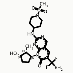 BC(F)(F)c1cc2cnc(NC3CCN(S(C)(=O)=O)CC3)nc2n([C@H]2CC[C@H](O)[C@@H]2C)c1=O